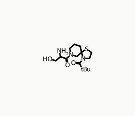 CC(C)(C)C(=O)N1CCSC12CCCN(C(=O)C(N)CO)C2